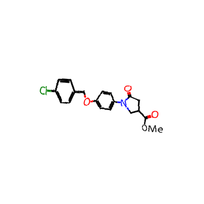 COC(=O)C1CC(=O)N(c2ccc(OCc3ccc(Cl)cc3)cc2)C1